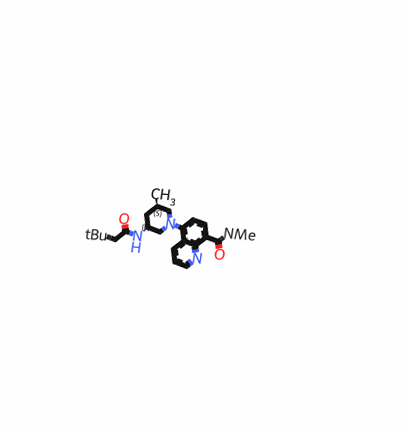 CNC(=O)c1ccc(N2C[C@@H](C)C[C@@H](NC(=O)CC(C)(C)C)C2)c2cccnc12